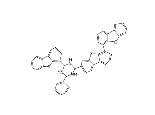 c1ccc(C2NC(c3ccc4c(c3)sc3c(-c5cccc6c5oc5ccccc56)cccc34)NC(c3cccc4c3sc3ccccc34)N2)cc1